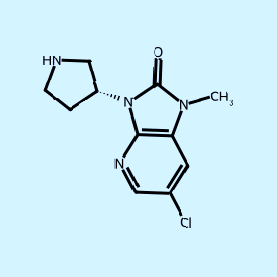 Cn1c(=O)n([C@@H]2CCNC2)c2ncc(Cl)cc21